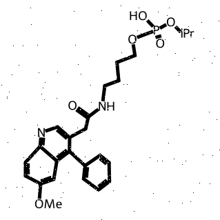 COc1ccc2ncc(CC(=O)NCCCCOP(=O)(O)OC(C)C)c(-c3ccccc3)c2c1